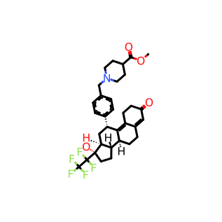 COC(=O)C1CCN(Cc2ccc([C@H]3C[C@@]4(C)[C@@H](CC[C@@]4(O)C(F)(F)C(F)(F)F)[C@@H]4CCC5=CC(=O)CCC5=C43)cc2)CC1